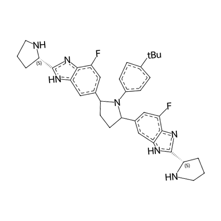 CC(C)(C)c1ccc(N2C(c3cc(F)c4nc([C@@H]5CCCN5)[nH]c4c3)CCC2c2cc(F)c3nc([C@@H]4CCCN4)[nH]c3c2)cc1